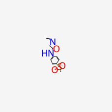 C/C=N\CC(=O)Nc1ccc(S(C)(=O)=O)cc1